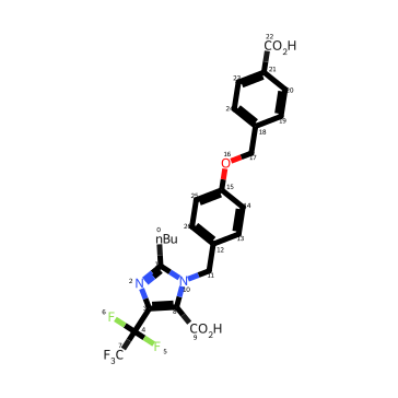 CCCCc1nc(C(F)(F)C(F)(F)F)c(C(=O)O)n1Cc1ccc(OCc2ccc(C(=O)O)cc2)cc1